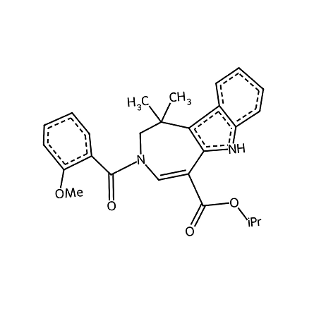 COc1ccccc1C(=O)N1C=C(C(=O)OC(C)C)c2[nH]c3ccccc3c2C(C)(C)C1